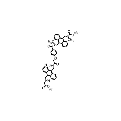 CC(C)OC(=O)CNCc1c2ccccc2c(CN(C)C(=O)COc2ccc(C(=O)N(C)Cc3c4ccccc4c(CN(C)C(=O)OC(C)(C)C)c4ccccc34)cc2)c2ccccc12